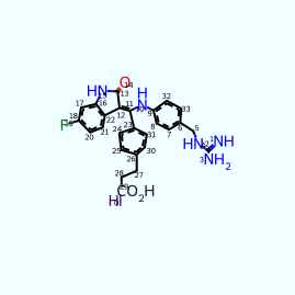 I.N=C(N)NCc1ccc(N/C(=C2\C(=O)Nc3cc(F)ccc32)c2ccc(CCC(=O)O)cc2)cc1